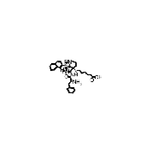 CC1(S(=O)(=O)c2ccc3ccccc3c2)NCCCC1(NCCCCCC(=O)O)C(=N)NC(=O)[C@@H](N)Cc1ccccc1